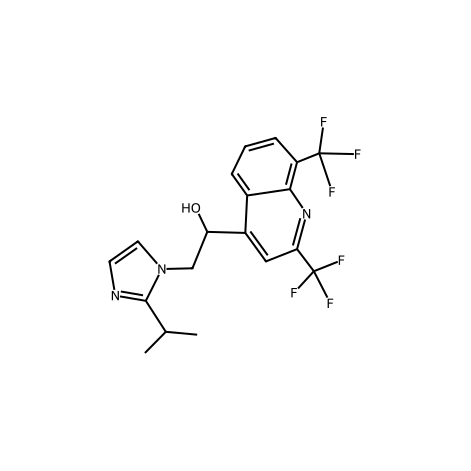 CC(C)c1nccn1CC(O)c1cc(C(F)(F)F)nc2c(C(F)(F)F)cccc12